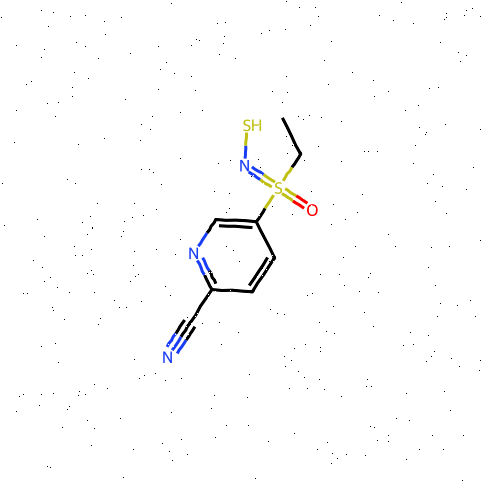 CCS(=O)(=NS)c1ccc(C#N)nc1